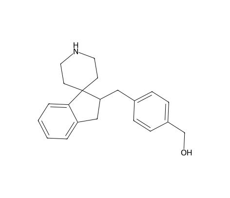 OCc1ccc(CC2Cc3ccccc3C23CCNCC3)cc1